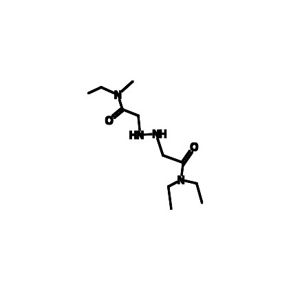 CCN(C)C(=O)CNNCC(=O)N(CC)CC